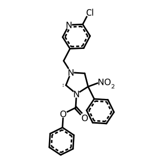 O=C(Oc1ccccc1)N1[C]N(Cc2ccc(Cl)nc2)CC1(c1ccccc1)[N+](=O)[O-]